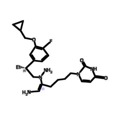 CC[C@@H](CN(N)/C(=C\N)CCCCn1ccc(=O)[nH]c1=O)c1ccc(F)c(OCC2CC2)c1